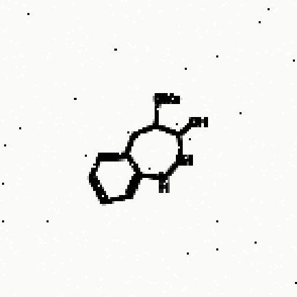 COC1Cc2ccccc2NNC1O